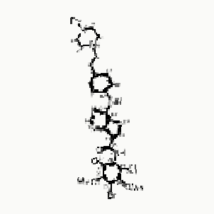 CCN1CCN(CCc2ccc(Nc3ncnc4c(C(=O)Nc5c(Cl)c(OC)c(Br)c(OC)c5Cl)csc34)cc2)CC1